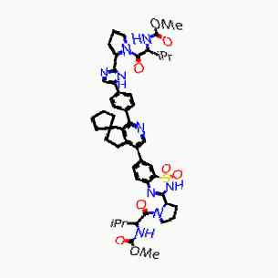 COC(=O)NC(C(=O)N1CCCC1C1=Nc2ccc(-c3cnc(-c4ccc(-c5cnc(C6CCCN6C(=O)C(NC(=O)OC)C(C)C)[nH]5)cc4)c4c3CCC43CCCC3)cc2S(=O)(=O)N1)C(C)C